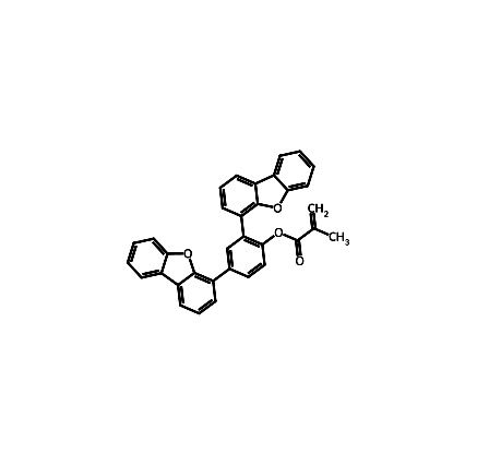 C=C(C)C(=O)Oc1ccc(-c2cccc3c2oc2ccccc23)cc1-c1cccc2c1oc1ccccc12